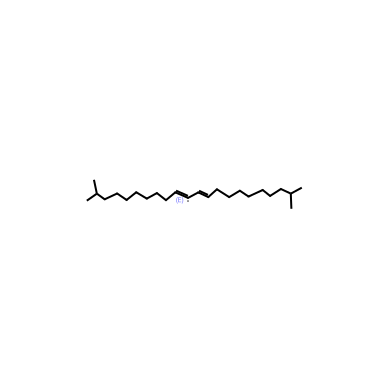 CC(C)CCCCCCCC=C/[C]=C/CCCCCCCC(C)C